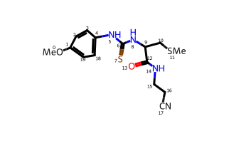 COc1ccc(NC(=S)NC(CSC)C(=O)NCCC#N)cc1